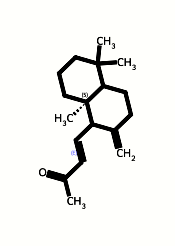 C=C1CCC2C(C)(C)CCC[C@]2(C)C1/C=C/C(C)=O